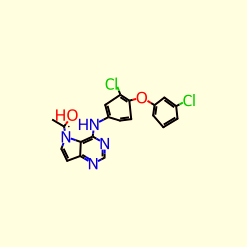 C[C](O)n1ccc2ncnc(Nc3ccc(Oc4cccc(Cl)c4)c(Cl)c3)c21